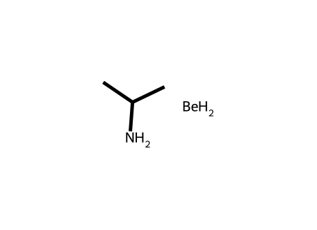 CC(C)N.[BeH2]